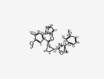 COc1cc(C(=O)N2CCC2c2nc(-c3cccc(F)c3C)no2)c(-n2nccn2)cc1C